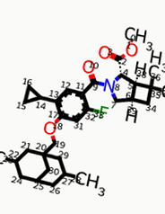 COC(=O)[C@@H]1[C@@H]2[C@H](CN1C(=O)c1cc(C3CC3)c(OCC34CC(C)CC(CC(C)C3)C4)cc1F)CC2(C)C